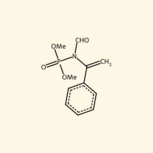 C=C(c1ccccc1)N(C=O)P(=O)(OC)OC